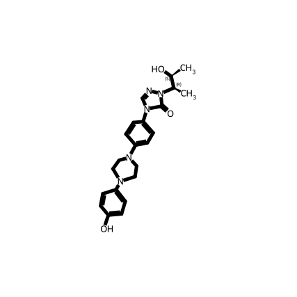 C[C@H](O)[C@@H](C)n1ncn(-c2ccc(N3CCN(c4ccc(O)cc4)CC3)cc2)c1=O